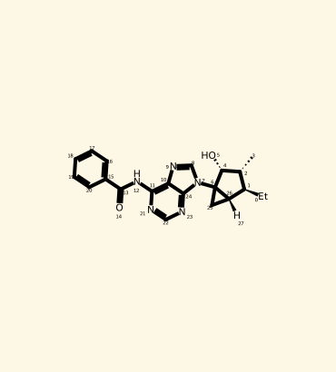 CC[C@@H]1[C@@H](C)[C@@H](O)C2(n3cnc4c(NC(=O)c5ccccc5)ncnc43)C[C@@H]12